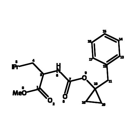 COC(=O)C(CC(C)C)NC(=O)OC1(Cc2ccccc2)CC1